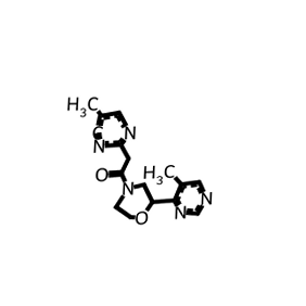 Cc1cnc(CC(=O)N2CCOC(c3ncncc3C)C2)nc1